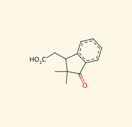 CC1(C)C(=O)c2ccccc2C1CC(=O)O